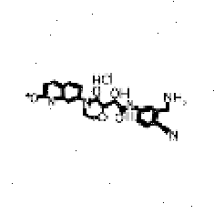 COc1ccc2ccc(N3CCO[C@H]([C@@H](O)C(=O)Nc4ccc(C#N)c(CN)c4)C3=O)cc2n1.Cl